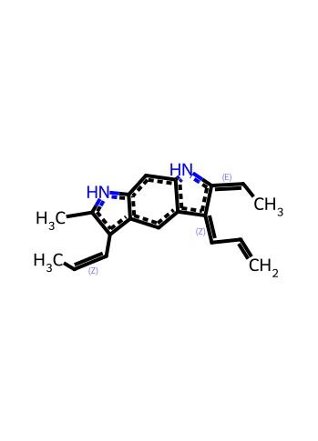 C=C/C=c1\c(=C/C)[nH]c2cc3[nH]c(C)c(/C=C\C)c3cc12